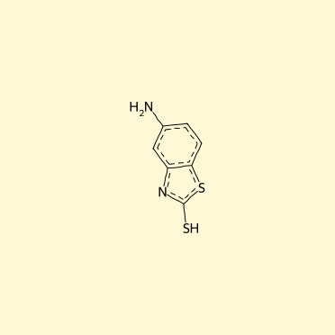 Nc1ccc2sc(S)nc2c1